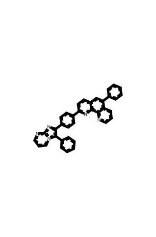 c1ccc(-c2cc3ccc(-c4ccc(-c5nc6ncccn6c5-c5ccccc5)cc4)nc3c3ncccc23)cc1